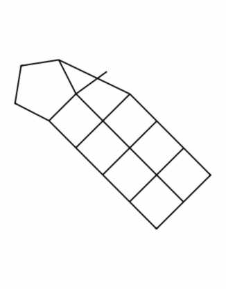 CC12C3CCC1C1C4C5CC6CC7C8C3C12C84C675